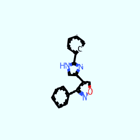 [c]1ccc(-c2nc(-c3conc3-c3ccccc3)c[nH]2)cc1